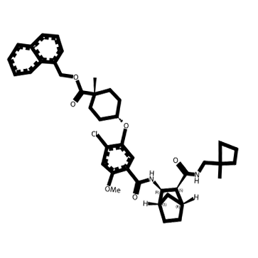 COc1cc(Cl)c(O[C@H]2CC[C@@](C)(C(=O)OCc3cccc4ccccc34)CC2)cc1C(=O)N[C@@H]1[C@H]2CC[C@H](C2)[C@@H]1C(=O)NCC1(C)CCC1